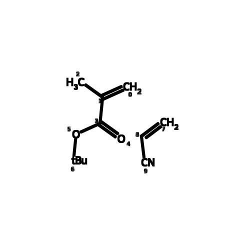 C=C(C)C(=O)OC(C)(C)C.C=CC#N